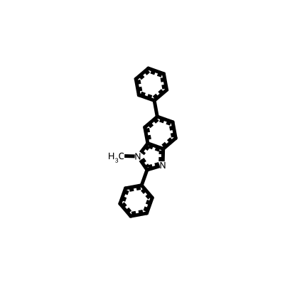 Cn1c(-c2ccccc2)nc2ccc(-c3ccccc3)cc21